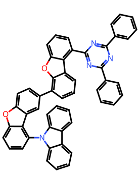 c1ccc(-c2nc(-c3ccccc3)nc(-c3cccc4oc5c(-c6ccc7oc8cccc(-n9c%10ccccc%10c%10ccccc%109)c8c7c6)cccc5c34)n2)cc1